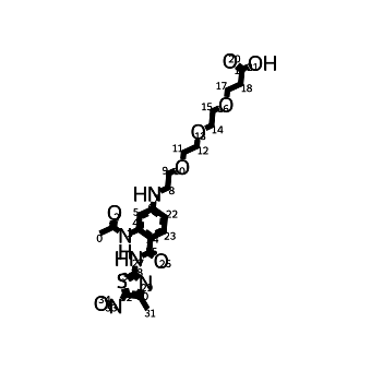 CC(=O)Nc1cc(NCCOCCOCCOCCC(=O)O)ccc1C(=O)Nc1nc(C)c(N=O)s1